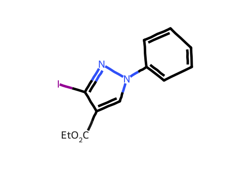 CCOC(=O)c1cn(-c2ccccc2)nc1I